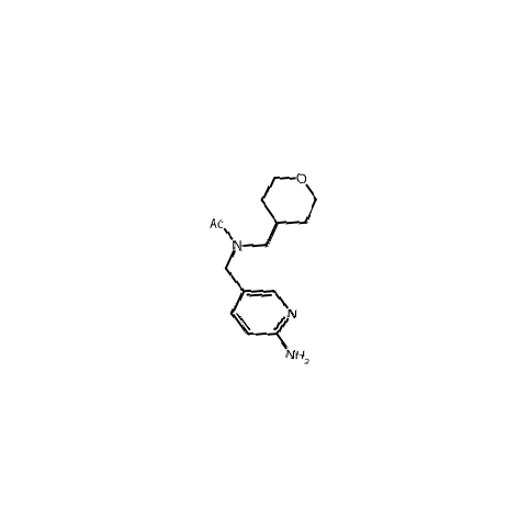 CC(=O)N(Cc1ccc(N)nc1)CC1CCOCC1